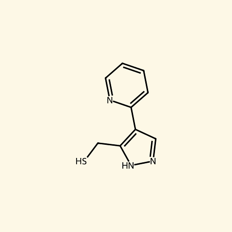 SCc1[nH]ncc1-c1ccccn1